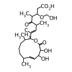 C/C(=C\C(C)C(=O)C(C)C(CC(=O)O)OCO)C1OC(=O)C(O)C(O)/C=C/C(C)CCCC1C